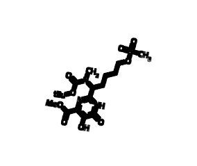 COC(=O)c1nc(C(CCCCOS(C)(=O)=O)N(C)C(=O)OC(C)(C)C)[nH]c(=O)c1O